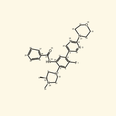 C[C@H]1CN(c2cc(F)c(-c3cnc(N4CCOCC4)nc3)cc2NC(=O)c2ccccc2)CCN1C